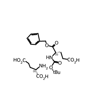 CC(C)(C)OC(=O)N[C@@H](CCC(=O)O)C(=O)OCc1ccccc1.N[C@@H](CCC(=O)O)C(=O)O